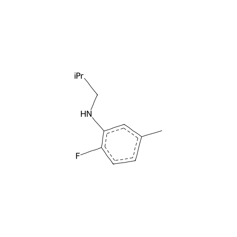 Cc1ccc(F)c(NCC(C)C)c1